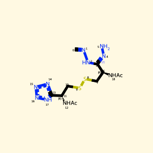 C=NN/C(=N\N)[C@H](CSSC[C@H](NC(C)=O)c1nnn[nH]1)NC(C)=O